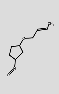 C/C=C/COC1CCC(N=O)C1